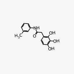 Cc1cccc(NC(=O)Cc2ccc(O)c(O)c2O)c1